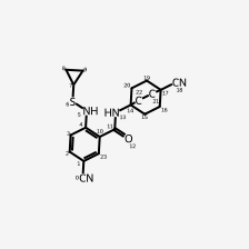 N#Cc1ccc(NSC2CC2)c(C(=O)NC23CCC(C#N)(CC2)CC3)c1